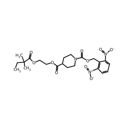 CCC(C)(C)C(=O)OCCOC(=O)C1CCN(C(=O)OCc2c([N+](=O)[O-])cccc2[N+](=O)[O-])CC1